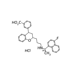 C[C@@H](NCCCC1CC(c2cccc(C(=O)O)c2)c2ccccc2O1)c1ccc(F)c2ccccc12.Cl